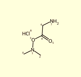 CN(C)OC(=O)CN.Cl